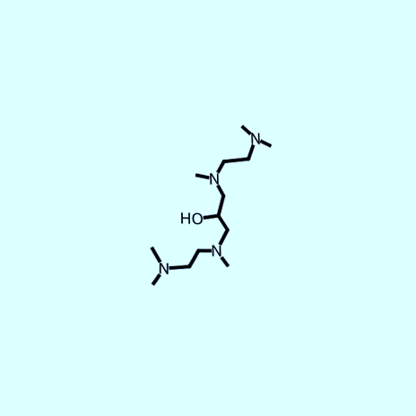 CN(C)CCN(C)CC(O)CN(C)CCN(C)C